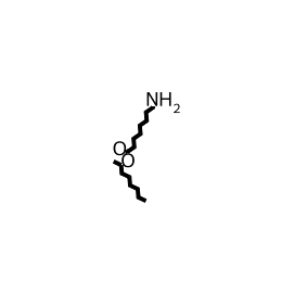 CCCCCCC(C)OC(=O)CCCCCCCN